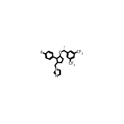 C[C@@H](OC1CCC(Cn2ccnc2)C1c1ccc(F)cc1)c1cc(C(F)(F)F)cc(C(F)(F)F)c1